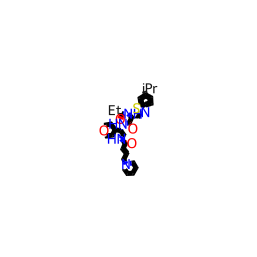 CCC(=O)N[C@@H](Cc1nc2ccc(C(C)C)cc2s1)C(=O)NC(CNC(=O)/C=C/CN1CCCCC1)C1CCOCC1